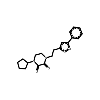 O=C1C(=O)N(C2CCCC2)CCN1CCc1cc(-c2ccccc2)on1